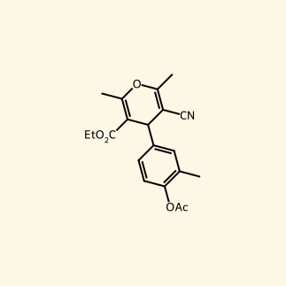 CCOC(=O)C1=C(C)OC(C)=C(C#N)C1c1ccc(OC(C)=O)c(C)c1